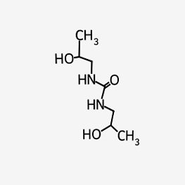 CC(O)CNC(=O)NCC(C)O